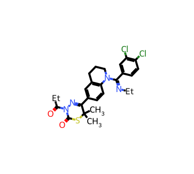 CCN=C(c1ccc(Cl)c(Cl)c1)N1CCCc2cc(C3=NN(C(=O)CC)C(=O)SC3(C)C)ccc21